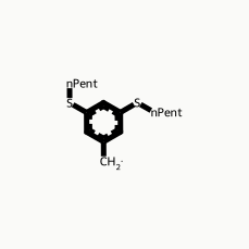 [CH2]c1cc(SCCCCC)cc(SCCCCC)c1